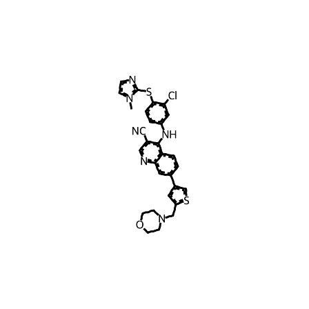 Cn1ccnc1Sc1ccc(Nc2c(C#N)cnc3cc(-c4csc(CN5CCOCC5)c4)ccc23)cc1Cl